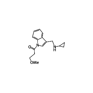 COCCC(=O)n1cc(CNC2CC2)c2ccccc21